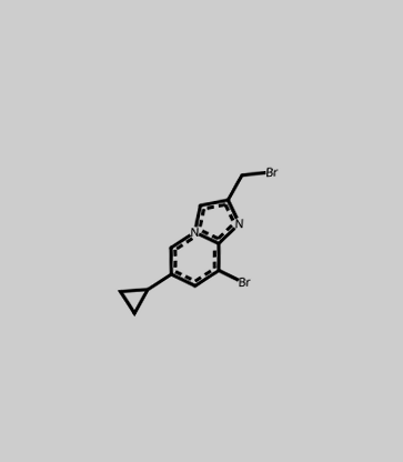 BrCc1cn2cc(C3CC3)cc(Br)c2n1